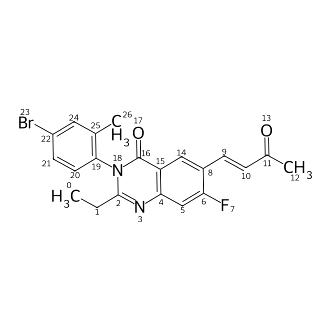 CCc1nc2cc(F)c(/C=C/C(C)=O)cc2c(=O)n1-c1ccc(Br)cc1C